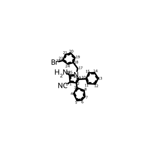 N#Cc1c(-c2ccccc2)c(-c2ccccc2)n(Cc2cccc(Br)c2)c1N